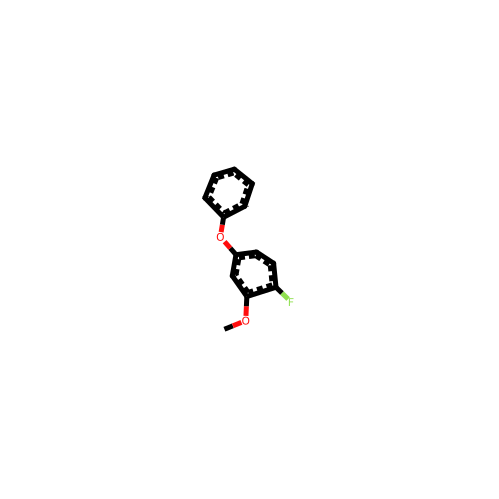 COc1cc(Oc2[c]cccc2)ccc1F